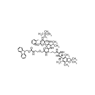 Cc1c(C)c(S(=O)(=O)NC(=N)NCCC[C@H](NC(=O)COCCNC(=O)OCC2c3ccccc3-c3ccccc32)C(=O)N[C@H](C(=O)N[C@@H](COC(C)(C)C)C(=O)N[C@@H](Cc2ccccc2)C(=O)O)C(C)C)c(C)c2c1OC(C)(C)C2